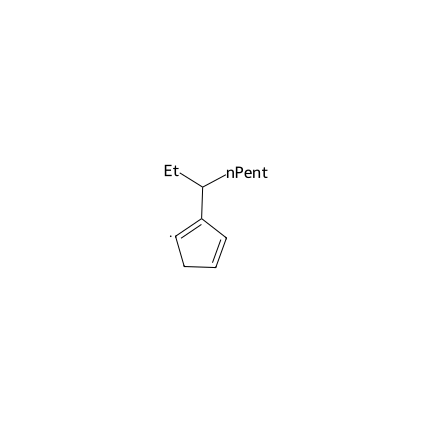 CCCCCC(CC)C1=[C]CC=C1